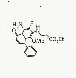 CCOC(=O)CCNC1=C(OC)C2C(C(=O)C=CC2c2ccccc2)C(N)=C1F